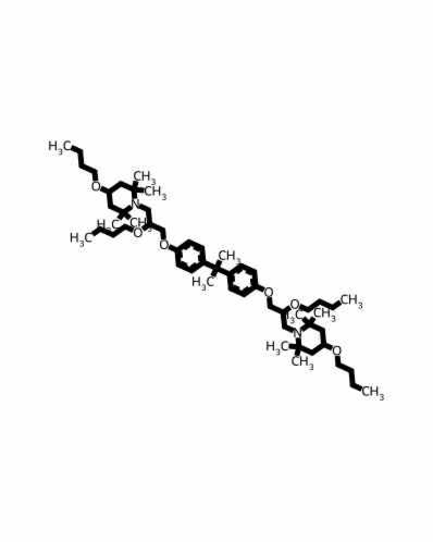 CCCCOC(COc1ccc(C(C)(C)c2ccc(OCC(CN3C(C)(C)CC(OCCCC)CC3(C)C)OCCCC)cc2)cc1)CN1C(C)(C)CC(OCCCC)CC1(C)C